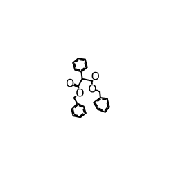 O=C(OCc1ccccc1)C(C(=O)OCc1ccccc1)c1ccccc1